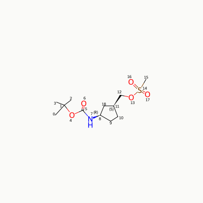 CC(C)(C)OC(=O)N[C@@H]1CC[C@H](COS(C)(=O)=O)C1